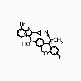 C/C(C#N)=C1/c2ccc(C(O)c3c(C4CC4)nc4c(Br)cccn34)cc2COc2cc(F)ccc21